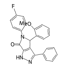 COc1ccccc1C1c2c(-c3ccccc3)n[nH]c2C(=O)N1c1ccc(F)cc1